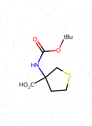 CC(C)(C)OC(=O)NC1(C(=O)O)CCSC1